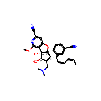 C=C(/C=C\C=C/C)[C@@H]1[C@@H](CN(C)C)[C@@H](O)[C@@]2(O)c3c(cc(C#N)nc3OC)O[C@@]12c1ccc(C#N)cc1